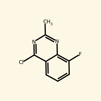 Cc1nc(Cl)c2cccc(F)c2n1